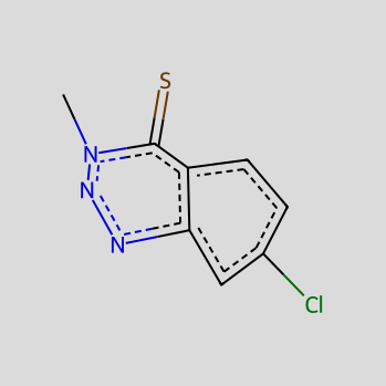 Cn1nnc2cc(Cl)ccc2c1=S